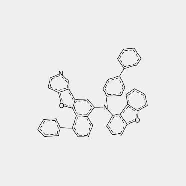 c1ccc(-c2ccc(N(c3cc4c5cnccc5oc4c4c(-c5ccccc5)cccc34)c3cccc4oc5ccccc5c34)cc2)cc1